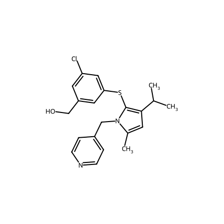 Cc1cc(C(C)C)c(Sc2cc(Cl)cc(CO)c2)n1Cc1ccncc1